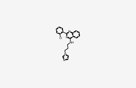 Clc1ccccc1-c1nc(NCCCn2ccnc2)c2ccccc2n1